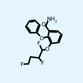 NC(=O)c1cccc(OC(F)C(F)CCF)c1Oc1ccccc1